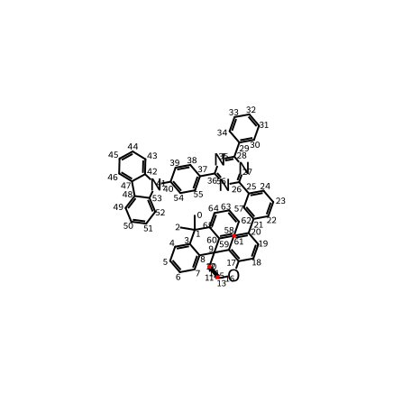 CC1(C)c2ccccc2C2(c3ccccc3Oc3ccc(-c4cccc(-c5nc(-c6ccccc6)nc(-c6ccc(-n7c8ccccc8c8ccccc87)cc6)n5)c4)cc32)c2ccccc21